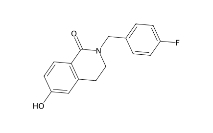 O=C1c2ccc(O)cc2CCN1Cc1ccc(F)cc1